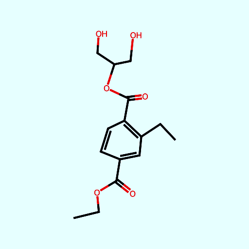 CCOC(=O)c1ccc(C(=O)OC(CO)CO)c(CC)c1